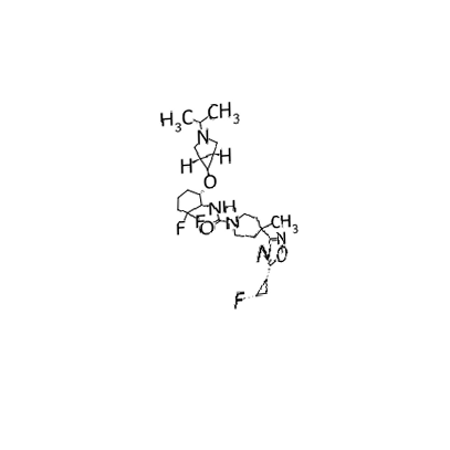 CC(C)N1C[C@@H]2[C@H](C1)[C@H]2O[C@H]1CCCC(F)(F)[C@@H]1NC(=O)N1CCC(C)(c2noc([C@@H]3C[C@@H]3F)n2)CC1